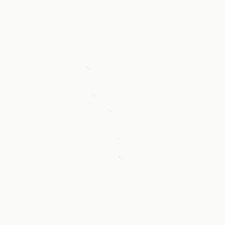 O=C(NCCCN1CCOCC1)c1cn2c3c(c(NCCN4CCOCC4)c(F)cc3c1=O)Oc1cc3ccccc3cc1-2